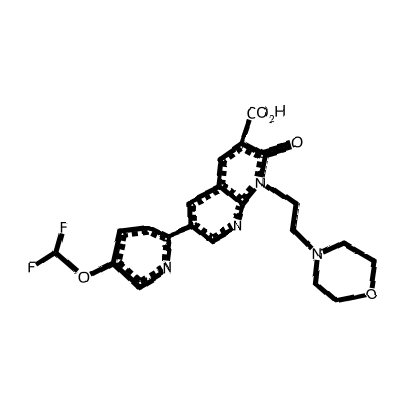 O=C(O)c1cc2cc(-c3ccc(OC(F)F)cn3)cnc2n(CCN2CCOCC2)c1=O